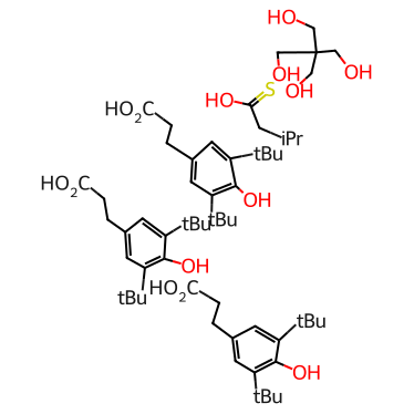 CC(C)(C)c1cc(CCC(=O)O)cc(C(C)(C)C)c1O.CC(C)(C)c1cc(CCC(=O)O)cc(C(C)(C)C)c1O.CC(C)(C)c1cc(CCC(=O)O)cc(C(C)(C)C)c1O.CC(C)CC(O)=S.OCC(CO)(CO)CO